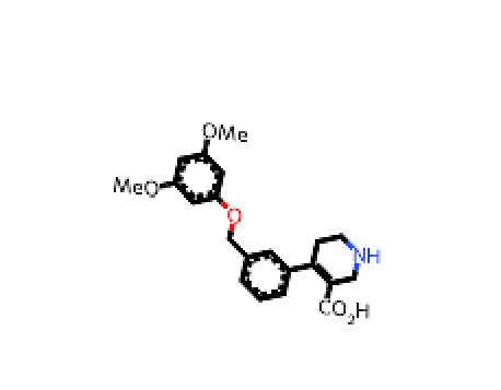 COc1cc(OC)cc(OCc2cccc(C3=C(C(=O)O)CNCC3)c2)c1